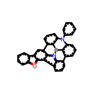 c1ccc(N2c3cccc4c3B3c5c(cccc52)-c2cc5c6ccccc6oc5c5c6cccc-4c6n3c25)cc1